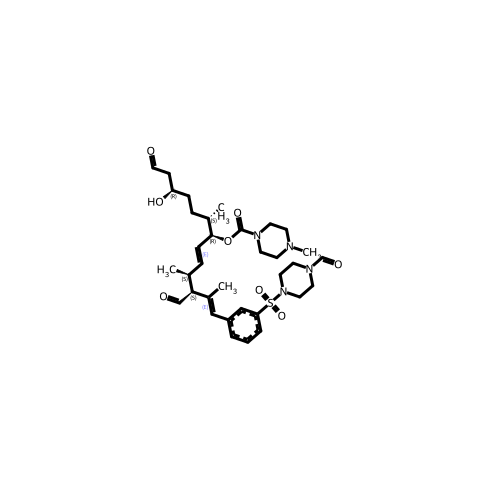 C/C(=C\c1cccc(S(=O)(=O)N2CCN(C=O)CC2)c1)[C@@H](C=O)[C@@H](C)/C=C/[C@H](OC(=O)N1CCN(C)CC1)[C@@H](C)CC[C@@H](O)CC=O